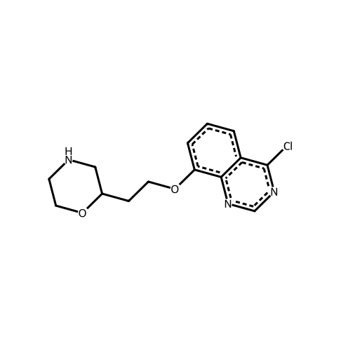 Clc1ncnc2c(OCCC3CNCCO3)cccc12